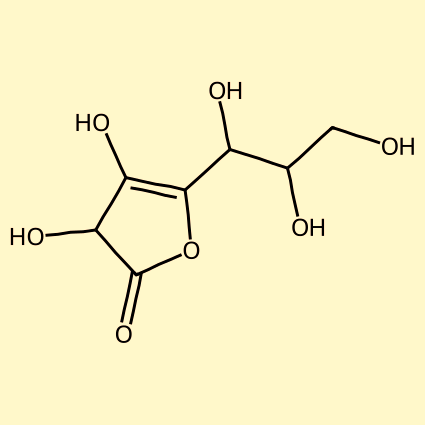 O=C1OC(C(O)C(O)CO)=C(O)C1O